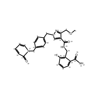 COCc1nn(Cc2ccc(Cn3ccccc3=O)cc2)cc1C(=O)NCc1c(F)cccc1C(N)=O